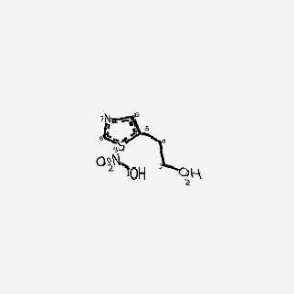 O=[N+]([O-])O.OCCc1cncs1